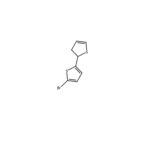 Brc1ccc(C2CC=CS2)s1